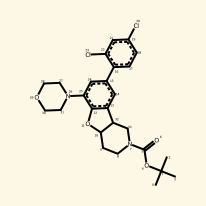 CC(C)(C)OC(=O)N1CCC2Oc3c(cc(-c4ccc(Cl)cc4Cl)cc3N3CCOCC3)C2C1